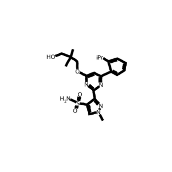 CC(C)c1ccccc1-c1cc(OCC(C)(C)CO)nc(-c2nn(C)cc2S(N)(=O)=O)n1